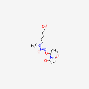 CC(ON=[N+]([O-])N(C)CCCCCO)N1C(=O)CCC1=O